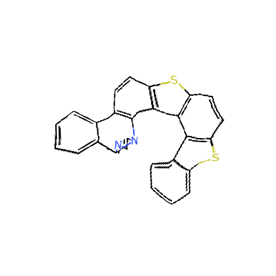 c1ccc2c(c1)sc1ccc3sc4ccc5c6ccccc6c6nccn6c5c4c3c12